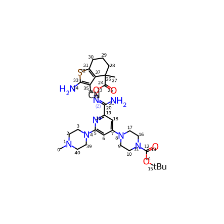 CN1CCN(c2cc(N3CCN(C(=O)OC(C)(C)C)CC3)cc(/C(N)=N/OC(=O)C3(C)CCCc4sc(N)c(C#N)c43)n2)CC1